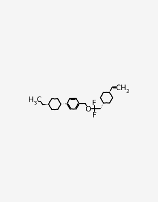 C=C[C@H]1CC[C@H](CC(F)(F)OCc2ccc([C@H]3CC[C@H](CC)CC3)cc2)CC1